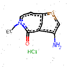 CCn1ccc2scc(N)c2c1=O.Cl